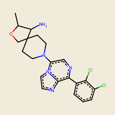 CC1OCC2(CCN(c3cnc(-c4cccc(Cl)c4Cl)c4nccn34)CC2)C1N